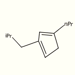 CCCC1=CC(CC(C)C)=CC1